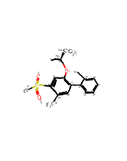 CCS(=O)(=O)c1cc(O[C@@H](C)C(=O)O)c(-c2ccccc2C)cc1C(F)(F)F